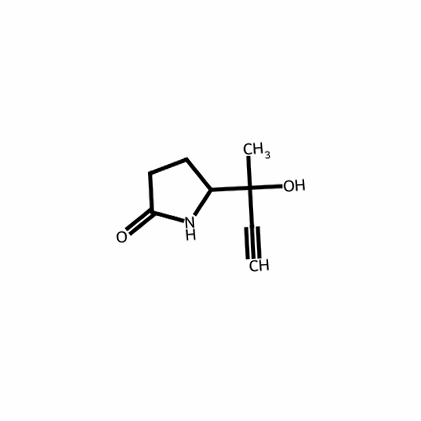 C#CC(C)(O)C1CCC(=O)N1